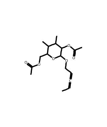 CC=C=CCOC1OC(COC(C)=O)C(C)C(C)C1OC(C)=O